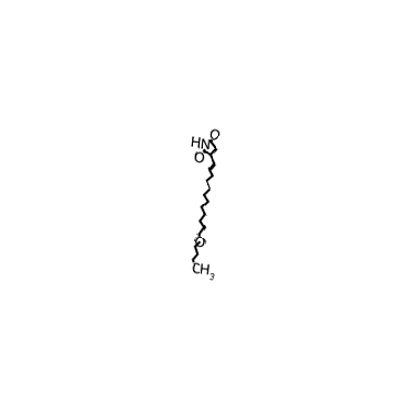 CCCCOCCCCCCCCCCC=CC1CC(=O)NC1=O